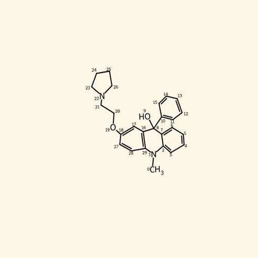 CN1c2ccccc2C(O)(c2ccccc2)c2cc(OCCN3CCCC3)ccc21